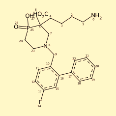 NCCCCC1(C(=O)O)CN(Cc2ccc(F)cc2-c2ccccc2)CCP1(=O)O